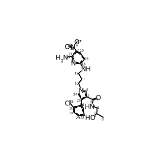 CC(O)CNC(=O)c1cn(CCCNc2ccc([N+](=O)[O-])c(N)n2)cc1-c1ccccc1Cl